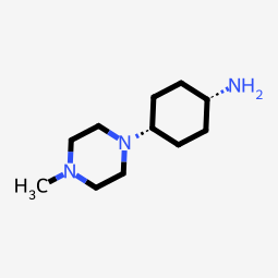 CN1CCN([C@H]2CC[C@@H](N)CC2)CC1